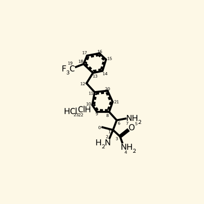 CC(N)(C(N)=O)C(N)c1ccc(Cc2ccccc2C(F)(F)F)cc1.Cl.Cl